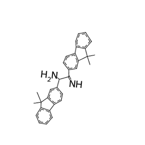 CC1(C)c2ccccc2-c2ccc(C(=N)C(N)c3ccc4c(c3)C(C)(C)c3ccccc3-4)cc21